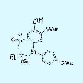 CCCCC1(CC)CN(c2ccc(OC)cc2)c2cc(SC)c(O)cc2S(=O)(=O)C1